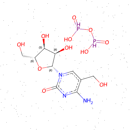 Nc1nc(=O)n([C@@H]2O[C@H](CO)[C@@H](O)[C@H]2O)cc1CO.O=[PH](O)O[PH](=O)O